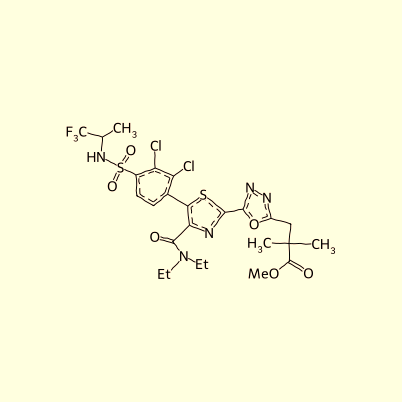 CCN(CC)C(=O)c1nc(-c2nnc(CC(C)(C)C(=O)OC)o2)sc1-c1ccc(S(=O)(=O)NC(C)C(F)(F)F)c(Cl)c1Cl